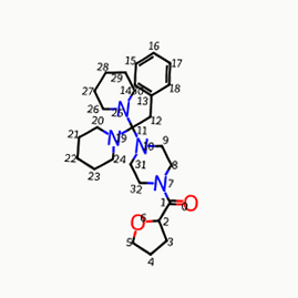 O=C(C1CCCO1)N1CCN(C(Cc2ccccc2)(N2CCCCC2)N2CCCCC2)CC1